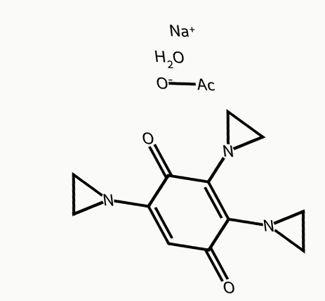 CC(=O)[O-].O.O=C1C=C(N2CC2)C(=O)C(N2CC2)=C1N1CC1.[Na+]